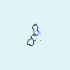 Cc1ccccc1Cc1c[nH]c2ccccc12